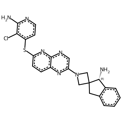 Nc1nccc(Sc2ccc3nc(N4CC5(Cc6ccccc6[C@H]5N)C4)cnc3n2)c1Cl